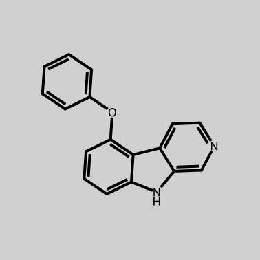 c1ccc(Oc2cccc3[nH]c4cnccc4c23)cc1